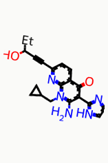 CCC(O)C#Cc1ccc2c(=O)c(-c3ncc[nH]3)c(N)n(CC3CC3)c2n1